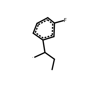 [CH2]C(CC)c1cccc(F)c1